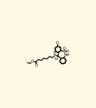 [2H][C@]1(NCCCCCCC(=O)OCC)c2ccccc2N(C)S(=O)(=O)c2cc(Cl)ccc21